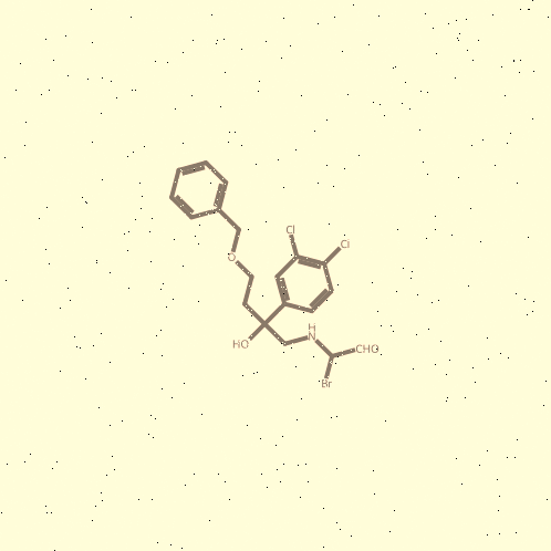 O=CC(Br)NCC(O)(CCOCc1ccccc1)c1ccc(Cl)c(Cl)c1